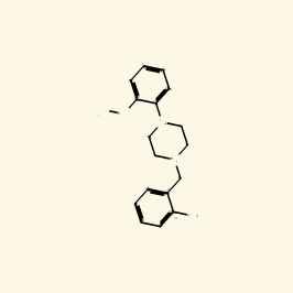 COc1ccccc1N1CCN(Cc2ccccc2O)CC1